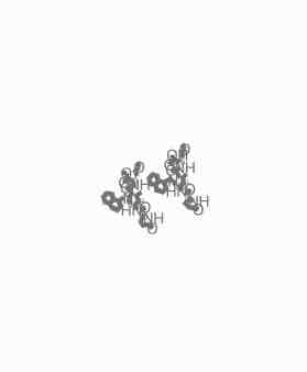 CC[C@H](C)[C@@H](CN(CC(=O)N[C@@H](CCOC)C(=O)O)Cc1cccc2ccccc12)NC(=O)[C@@H]1CCC(=O)N1.CC[C@H](C)[C@@H](CN(CC(=O)N[C@@H](CCOC)C(=O)OC)Cc1cccc2ccccc12)NC(=O)[C@@H]1CCC(=O)N1